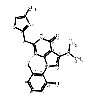 Cc1csc(Cc2nc3c(c(N(C)C)nn3-c3c(Cl)cccc3Cl)c(=O)[nH]2)n1